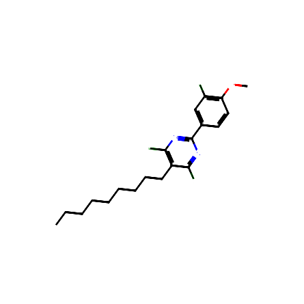 CCCCCCCCCc1c(Cl)nc(-c2ccc(OC)c(F)c2)nc1Cl